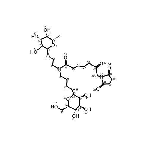 C[C@@H]1O[C@@H](OCCN(CCCO[C@@H]2O[C@H](CO)[C@@H](O)[C@H](O)[C@@H]2O)C(=O)CCCCC(=O)ON2C(=O)CCC2=O)[C@@H](O)[C@H](O)[C@@H]1O